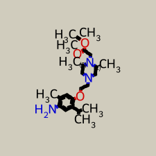 Cc1cc(OCCN2C[C@@H](C)N(CC(=O)OC(C)(C)C)[C@@H](C)C2)c(C(C)C)cc1N